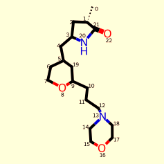 C[C@H]1CC(CC2CCOC(CCCN3CCOCC3)C2)NC1=O